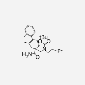 CC1=C(c2ccccc2C)C=CC(CN(CCC(C)C)C(=O)OC(C)(C)C)(C(N)=O)C1